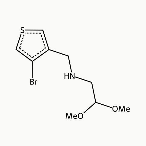 COC(CNCc1cscc1Br)OC